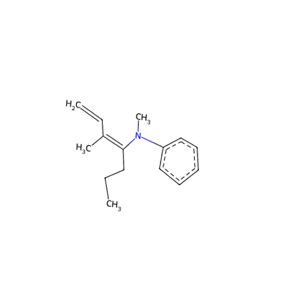 C=C/C(C)=C(/CCC)N(C)c1ccccc1